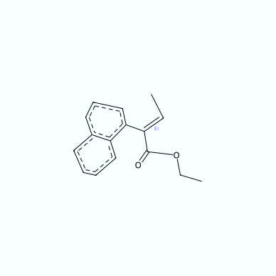 C/C=C(/C(=O)OCC)c1cccc2ccccc12